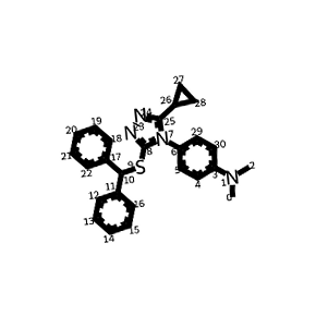 CN(C)c1ccc(-n2c(SC(c3ccccc3)c3ccccc3)nnc2C2CC2)cc1